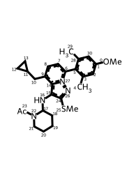 COc1cc(C)c(-c2ccc(CC3CC3)c3c(NC4CCCCN4C(C)=O)c(SC)nn23)c(C)c1